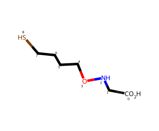 O=C(O)CNOCCCCS